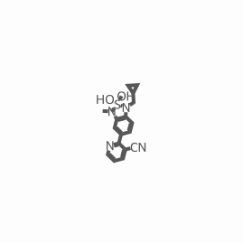 CN1c2cc(-c3ncccc3C#N)ccc2N(CC2CC2)S1(O)O